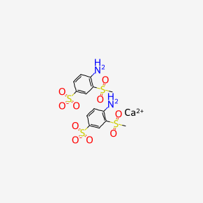 CS(=O)(=O)c1cc(S(=O)(=O)[O-])ccc1N.CS(=O)(=O)c1cc(S(=O)(=O)[O-])ccc1N.[Ca+2]